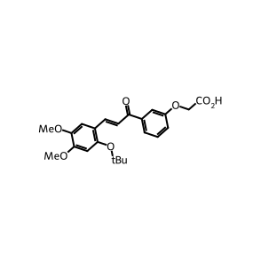 COc1cc(C=CC(=O)c2cccc(OCC(=O)O)c2)c(OC(C)(C)C)cc1OC